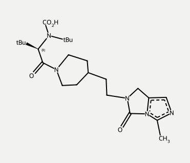 Cc1ncc2n1C(=O)N(CCC1CCN(C(=O)[C@H](N(C(=O)O)C(C)(C)C)C(C)(C)C)CC1)C2